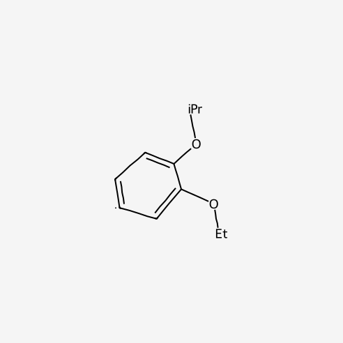 CCOc1c[c]ccc1OC(C)C